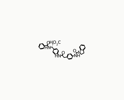 O=C(O)C[C@@H](NC(=O)c1ccccc1)c1ccc(NC(=O)Cc2ccc(NC(=O)N3CCc4ccccc43)cc2)cc1